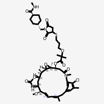 CNC(=O)[C@H]1CC[C@H](CN2C(=O)CC(SCCCOC(C)(C)C(=O)O[C@H]3CC(=O)N(C)c4cc(cc(C)c4Cl)C/C(C)=C/C=C/[C@@H](OC)[C@@]4(O)C[C@H](OC(=O)N4)[C@@H](C)[C@@H]4O[C@@]34C)C2=O)CC1